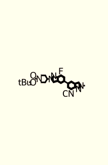 Cn1cc2cc(-c3cc(F)c4nn(C5CCN(C(=O)OC(C)(C)C)CC5)cc4c3)cc(C#N)c2n1